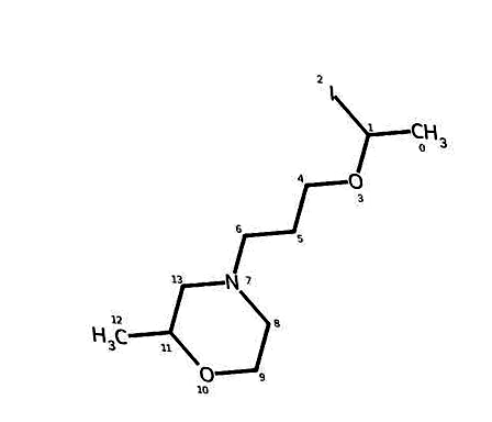 CC(I)OCCCN1CCOC(C)C1